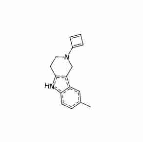 Cc1ccc2[nH]c3c(c2c1)CN(C1=CC=C1)CC3